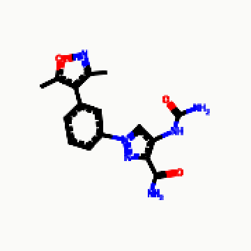 Cc1noc(C)c1-c1cccc(-n2cc(NC(N)=O)c(C(N)=O)n2)c1